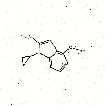 CCOc1cccc2c1cc(C(=O)O)n2C1CC1